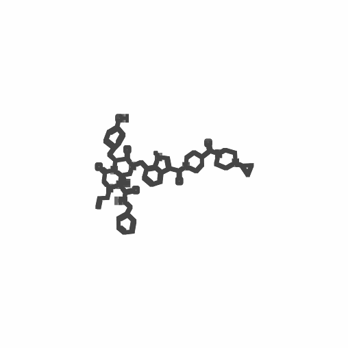 C=CCN1CC(=O)N2[C@@H](Cc3ccc(O)cc3)C(=O)N(Cc3cccc4c(C(=O)N5CCC(C(=O)N6CCN(C7CC7)CC6)CC5)cn(C)c34)C[C@@H]2N1C(=O)NCc1ccccc1